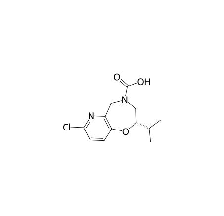 CC(C)[C@H]1CN(C(=O)O)Cc2nc(Cl)ccc2O1